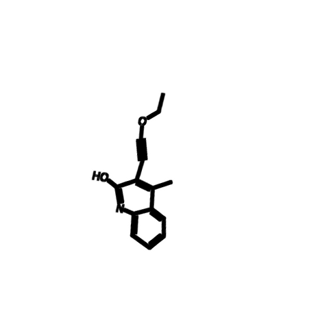 CCOC#Cc1c(O)nc2ccccc2c1C